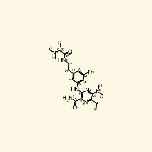 CCc1nc(C(N)=O)c(Nc2cc(F)cc(CCNC(=O)[C@H](C)NC)c2)nc1N(C)C